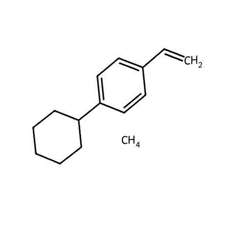 C.C=Cc1ccc(C2CCCCC2)cc1